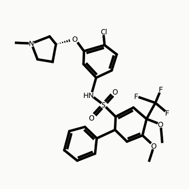 COC1=CC(c2ccccc2)C(S(=O)(=O)Nc2ccc(Cl)c(O[C@@H]3CCN(C)C3)c2)=CC1(OC)C(F)(F)F